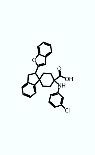 O=C(O)C1(Nc2cccc(Cl)c2)CCC2(CC1)c1ccccc1CC2c1cc2ccccc2o1